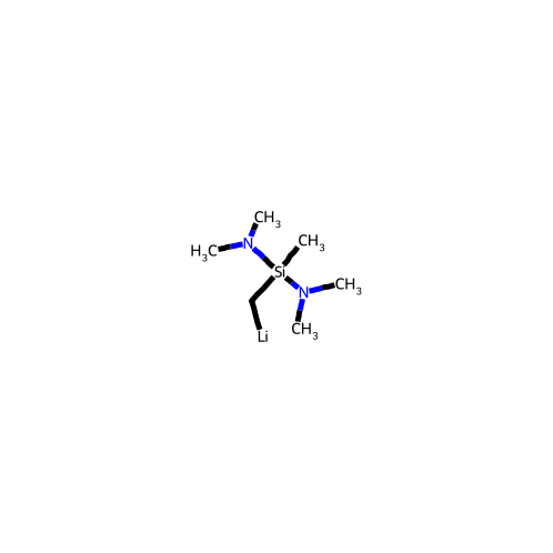 [Li][CH2][Si](C)(N(C)C)N(C)C